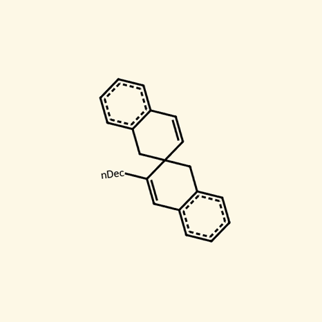 CCCCCCCCCCC1=Cc2ccccc2CC12C=Cc1ccccc1C2